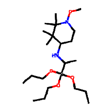 CCCO[Si](OCCC)(OCCC)C(C)NC1CCN(OC)C(C)(C)C1(C)C